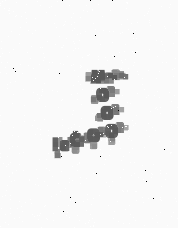 [Cr+3].[Fe+3].[Mn+2].[O-2].[O-2].[O-2].[O-2]